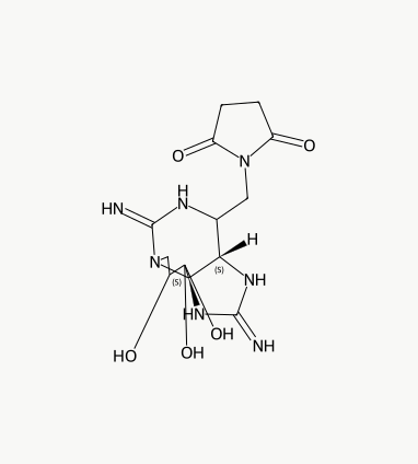 N=C1N[C@H]2C(CN3C(=O)CCC3=O)NC(=N)N3CC(O)C(O)(O)[C@]23N1